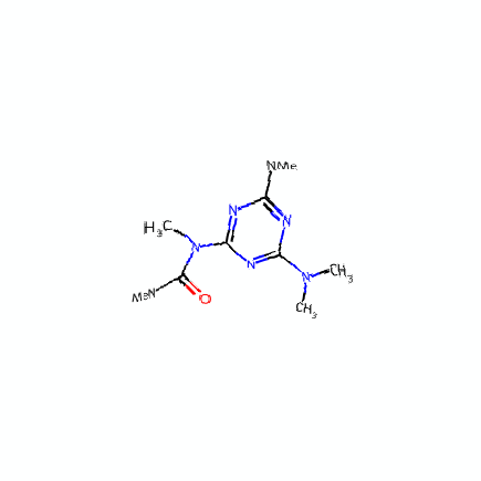 CNC(=O)N(C)c1nc(NC)nc(N(C)C)n1